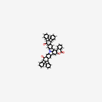 O=C1c2cc3c(cc2C2c4ccccc4C24c2ccccc2C14)c1cc2oc(=O)c4ccccc4c2c2c4cc5c(cc4n3c12)C(=O)C1c2ccccc2C12c1ccccc1C52